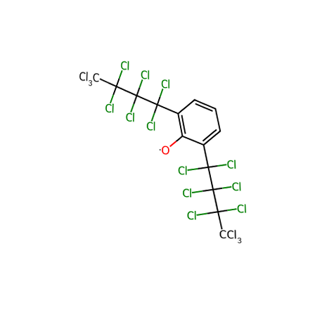 [O]c1c(C(Cl)(Cl)C(Cl)(Cl)C(Cl)(Cl)C(Cl)(Cl)Cl)cccc1C(Cl)(Cl)C(Cl)(Cl)C(Cl)(Cl)C(Cl)(Cl)Cl